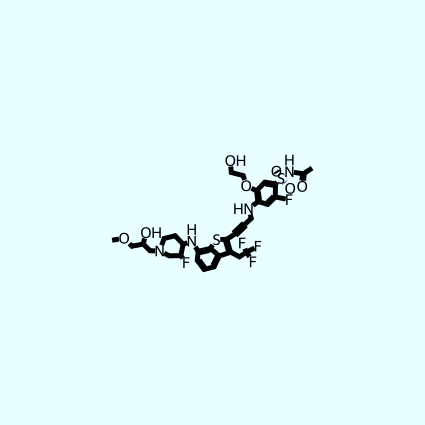 COCC(O)CN1CCC(Nc2cccc3c(CC(F)(F)F)c(C#CCNc4cc(F)c(S(=O)(=O)NC(C)=O)cc4OCCO)sc23)C(F)C1